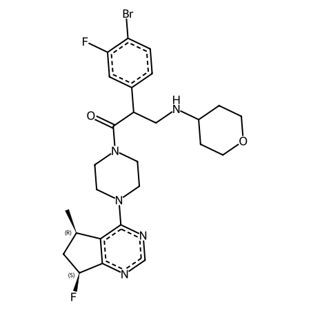 C[C@@H]1C[C@H](F)c2ncnc(N3CCN(C(=O)C(CNC4CCOCC4)c4ccc(Br)c(F)c4)CC3)c21